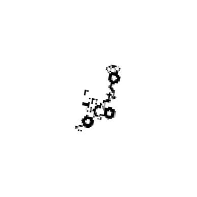 COc1ccc([C@H]2Sc3ccccc3N(CC[N+](C)(C)CCc3ccc4c(c3)OCO4)C(=O)[C@H]2OC(C)=O)cc1.[I-]